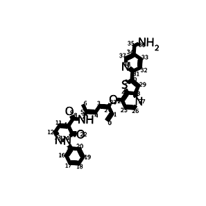 C=C/C(=C\C=C(/C)NC(=O)c1ccnn(-c2ccccc2)c1=O)Oc1ccnc2cc(-c3ccc(CN)cn3)sc12